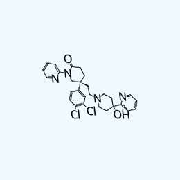 O=C1CC[C@](CCN2CCC(O)(c3ccccn3)CC2)(c2ccc(Cl)c(Cl)c2)CN1c1ccccn1